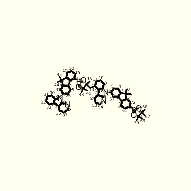 CC1(C)c2ccc(-n3c4cccc(CC5(C)OB(c6cccc7c6-c6ccc(-n8c9ccccc9c9cccnc98)cc6C7(C)C)OC5(C)C)c4c4cccnc43)cc2-c2ccc(B3OC(C)(C)C(C)(C)O3)cc21